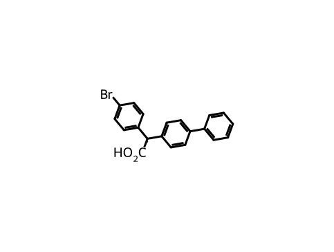 O=C(O)[C](c1ccc(Br)cc1)c1ccc(-c2ccccc2)cc1